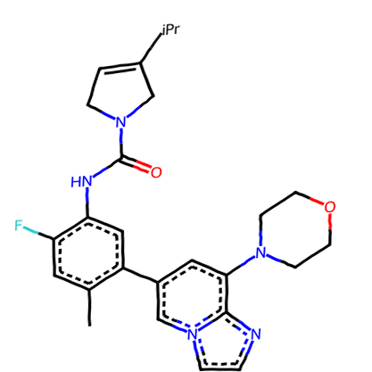 Cc1cc(F)c(NC(=O)N2CC=C(C(C)C)C2)cc1-c1cc(N2CCOCC2)c2nccn2c1